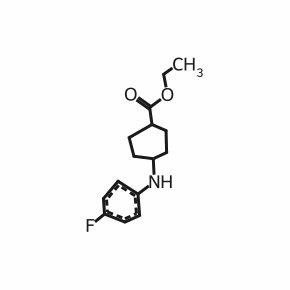 CCOC(=O)C1CCC(Nc2ccc(F)cc2)CC1